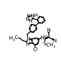 CCCc1nc2c(Cl)cc(NC(SC)=C(C#N)C#N)cc2n1Cc1ccc(-c2ccccc2-c2nnn[nH]2)cc1